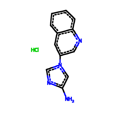 Cl.Nc1cn(-c2cnc3ccccc3c2)cn1